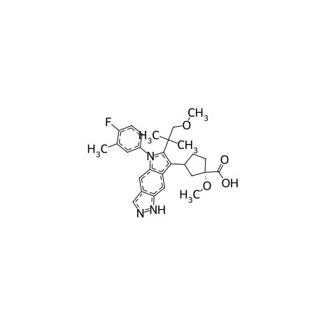 COCC(C)(C)c1c(C2CC[C@@](OC)(C(=O)O)C2)c2cc3[nH]ncc3cc2n1-c1ccc(F)c(C)c1